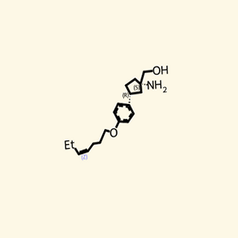 CC/C=C\CCCOc1ccc([C@@H]2CC[C@@](N)(CO)C2)cc1